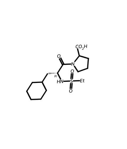 CCS(=O)(=O)N[C@H](CC1CCCCC1)C(=O)N1CCCC1C(=O)O